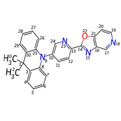 CC1(C)c2ccccc2N(c2ccc(-c3nc4cnccc4o3)nc2)c2ccccc21